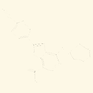 N#Cc1ccc(-c2cc3c(N[C@H]4CCCNC4)ncc(C(N)=O)c3s2)cc1